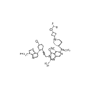 Cc1nc2cnc(N(C)C3CCN(C4CC(OC(F)F)C4)CC3)c(C#N)c2c(=O)n1CC#Cc1ccc(Cl)cc1-c1ccnc2c(C(=O)O)csc12